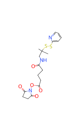 CC(C)(CNC(=O)CCCC(=O)ON1C(=O)CCC1=O)SSc1ccccn1